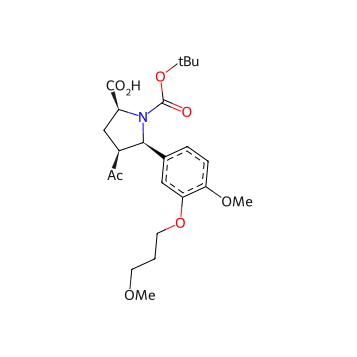 COCCCOc1cc([C@H]2[C@@H](C(C)=O)C[C@@H](C(=O)O)N2C(=O)OC(C)(C)C)ccc1OC